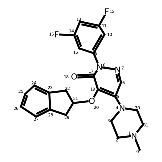 CN1CCN(c2cnn(-c3cc(F)cc(F)c3)c(=O)c2OC2Cc3ccccc3C2)CC1